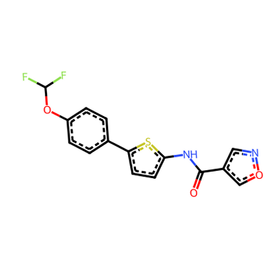 O=C(Nc1ccc(-c2ccc(OC(F)F)cc2)s1)c1cnoc1